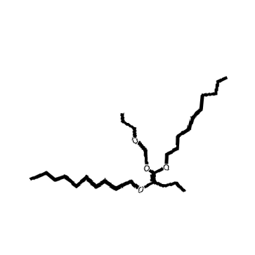 CCCCCCCCCCOC(CCC)=C(OCCCCCCCCCC)OCOCCC